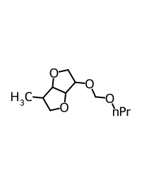 CCCOCOC1COC2C(C)COC12